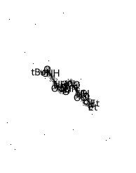 CCN(CC)c1ccc2cc(C(=O)NCCNC(=O)c3cccc(S(=O)(=O)n4cc(C(=O)NCCCCCNC(=O)OC(C)(C)C)ccc4=O)c3)c(=O)oc2c1